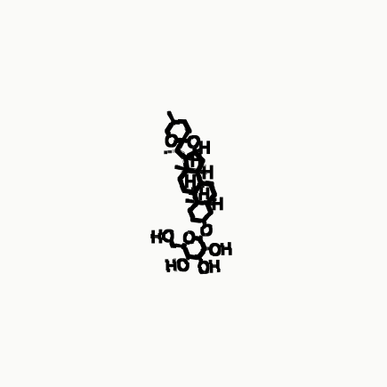 C[C@H]1CC[C@@]2(OC1)O[C@H]1C[C@H]3[C@@H]4CC[C@@H]5C[C@@H](O[C@@H]6O[C@H](CO)[C@H](O)[C@H](O)[C@H]6O)CC[C@]5(C)[C@H]4CC[C@]3(C)[C@H]1[C@@H]2C